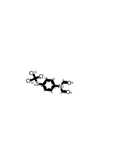 O=CN(C=O)c1ccc(SC(Cl)(Cl)Cl)cc1